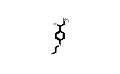 NCC(O)c1ccc(OCCF)cc1